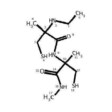 CCNC(C)(CS)C(=O)NC(C)(CS)C(=O)NC